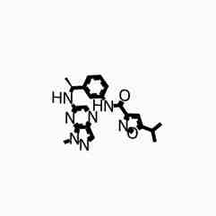 CC(C)c1cc(C(=O)Nc2cccc([C@H](C)Nc3cnc4cnn(C)c4n3)c2)no1